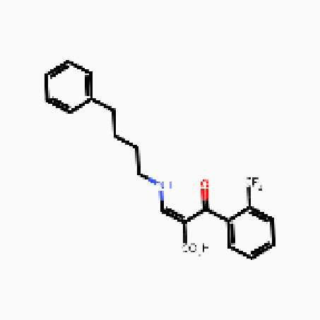 O=C(O)C(=CNCCCCc1ccccc1)C(=O)c1ccccc1C(F)(F)F